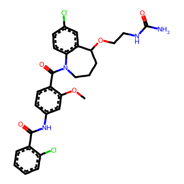 COc1cc(NC(=O)c2ccccc2Cl)ccc1C(=O)N1CCCC(OCCNC(N)=O)c2cc(Cl)ccc21